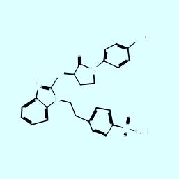 COc1ccc(N2CCC(Sc3nc4ccccc4n3CCc3ccc(S(N)(=O)=O)cc3)C2=O)cc1